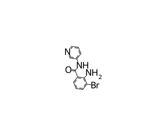 Nc1c(Br)cccc1C(=O)Nc1cccnc1